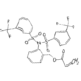 C=CC(=O)OCc1ccccc1N(S(=O)(=O)c1cccc(C(F)(F)F)c1)S(=O)(=O)c1cccc(C(F)(F)F)c1